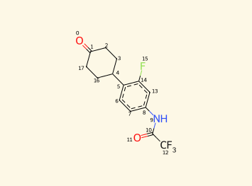 O=C1CCC(c2ccc(NC(=O)C(F)(F)F)cc2F)CC1